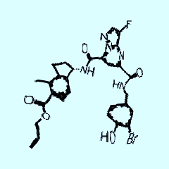 C=CCOC(=O)c1ccc2c(c1C)CC[C@@H]2NC(=O)c1cc(C(=O)NCc2ccc(O)c(Br)c2)nc2c(F)cnn12